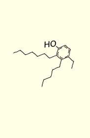 CCCCCCCc1c(O)ccc(CC)c1CCCCC